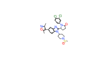 Cc1noc(C)c1-c1ccc2c(c1)nc([C@@H]1CCC(=O)N1c1ccc(Cl)c(Cl)c1)n2C1CCN([S+](C)[O-])CC1